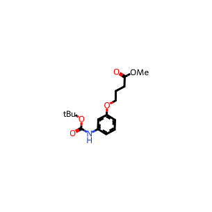 COC(=O)CCCOc1cccc(NC(=O)OC(C)(C)C)c1